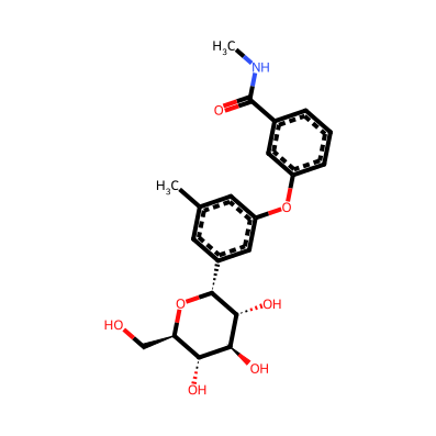 CNC(=O)c1cccc(Oc2cc(C)cc([C@H]3O[C@H](CO)[C@@H](O)[C@H](O)[C@H]3O)c2)c1